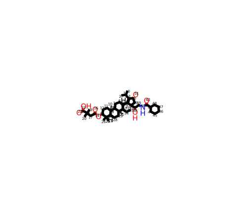 CC(C)C1=C2[C@H]3CCC4[C@@]5(C)CC[C@H](OC(=O)CC(C)(C)C(=O)O)C(C)(C)[C@@H]5CC[C@@]4(C)[C@]3(C)CC[C@@]2([C@H](O)CNC(=O)C2CCCCC2)CC1=O